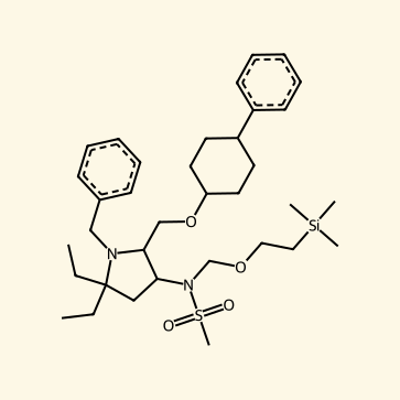 CCC1(CC)CC(N(COCC[Si](C)(C)C)S(C)(=O)=O)C(COC2CCC(c3ccccc3)CC2)N1Cc1ccccc1